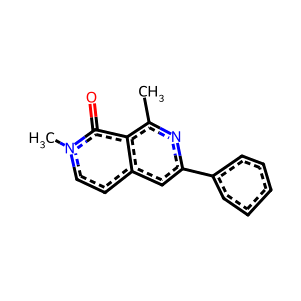 Cc1nc(-c2ccccc2)cc2ccn(C)c(=O)c12